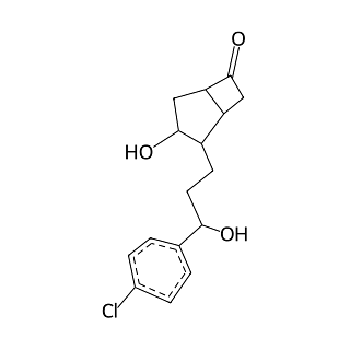 O=C1CC2C1CC(O)C2CCC(O)c1ccc(Cl)cc1